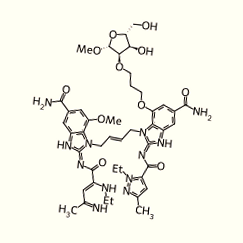 CCN/C(=C\C(C)=N)C(=O)/N=c1/[nH]c2cc(C(N)=O)cc(OC)c2n1C/C=C/Cn1/c(=N/C(=O)c2cc(C)nn2CC)[nH]c2cc(C(N)=O)cc(OCCCO[C@H]3[C@H](OC)O[C@H](CO)[C@H]3O)c21